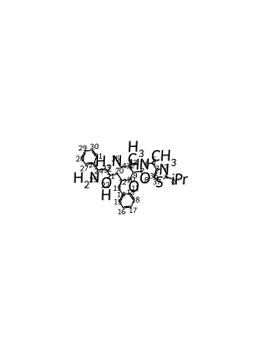 CC(C)c1nc(C(C)NC(=O)C(C(=O)C(Cc2ccccc2)CC(O)[CH]C(N)c2ccccc2)C(C)CN)cs1